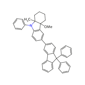 COC12CCCCC1(C)N(c1ccccc1)c1ccc(-c3ccc4c(c3)-c3ccccc3C4(c3ccccc3)c3ccccc3)cc12